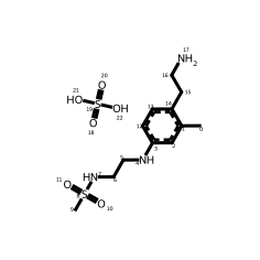 Cc1cc(NCCNS(C)(=O)=O)ccc1CCN.O=S(=O)(O)O